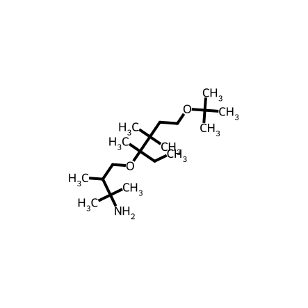 CCC(C)(OCC(C)C(C)(C)N)C(C)(C)CCOC(C)(C)C